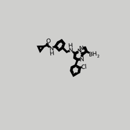 Bc1cnn2c(NCc3cccc(NC(=O)C4CC4)c3)cc(-c3ccccc3Cl)nc12